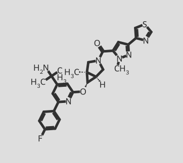 Cn1nc(-c2cscn2)cc1C(=O)N1C[C@H]2[C@H](Oc3cc(C(C)(C)N)cc(-c4ccc(F)cc4)n3)[C@@]2(C)C1